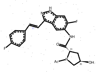 CC(=O)N1C[C@H](O)C[C@H]1C(=O)Nc1cc2c(/C=C/c3ccc(F)cc3)n[nH]c2cc1F